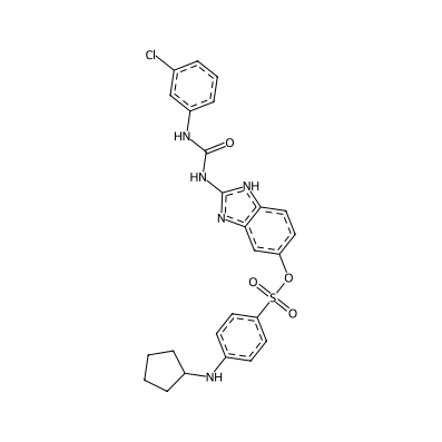 O=C(Nc1cccc(Cl)c1)Nc1nc2cc(OS(=O)(=O)c3ccc(NC4CCCC4)cc3)ccc2[nH]1